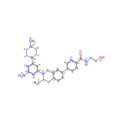 CC1Cc2ccc(-c3ccc(C(=O)NCCO)nc3)cc2CN1c1cc(N2CCN(C)CC2)nc(N)n1